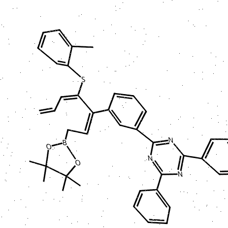 C=C/C=C(Sc1ccccc1C)\C(=C/CB1OC(C)(C)C(C)(C)O1)c1cccc(-c2nc(-c3ccccc3)nc(-c3ccccc3)n2)c1